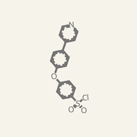 O=S(=O)(Cl)c1ccc(Oc2ccc(-c3ccncc3)cc2)cc1